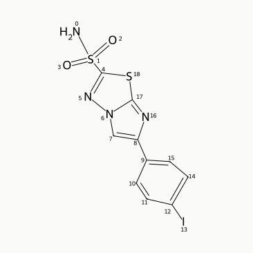 NS(=O)(=O)c1nn2cc(-c3ccc(I)cc3)nc2s1